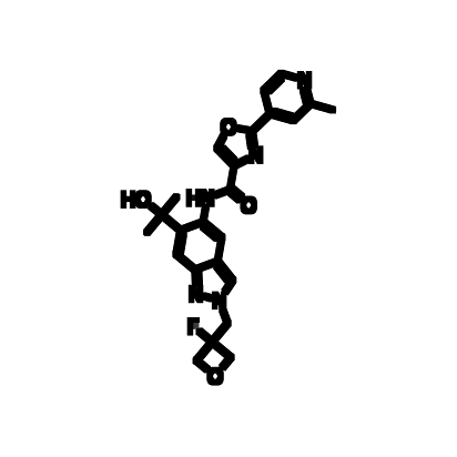 Cc1cc(-c2nc(C(=O)Nc3cc4cn(CC5(F)COC5)nc4cc3C(C)(C)O)co2)ccn1